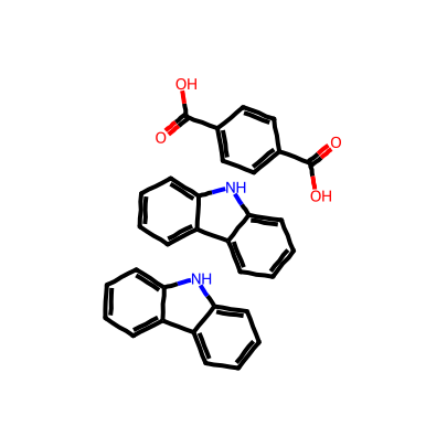 O=C(O)c1ccc(C(=O)O)cc1.c1ccc2c(c1)[nH]c1ccccc12.c1ccc2c(c1)[nH]c1ccccc12